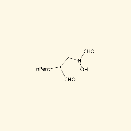 CCCCCC([C]=O)CN(O)C=O